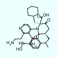 CC(C[C@@H]1CC(=O)[C@](CC2CCCCC2)(C(=O)O)N(c2ccnc(CCN)c2C(N)=O)C1=O)c1ccc(NO)cc1